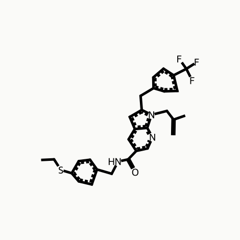 C=C(C)Cn1c(Cc2ccc(C(F)(F)F)cc2)cc2cc(C(=O)NCc3ccc(SCC)cc3)cnc21